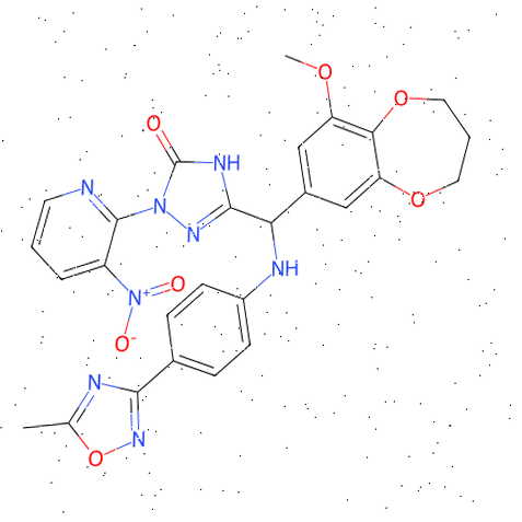 COc1cc(C(Nc2ccc(-c3noc(C)n3)cc2)c2nn(-c3ncccc3[N+](=O)[O-])c(=O)[nH]2)cc2c1OCCCO2